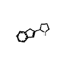 C1=C(C2CCCN2)Cc2ccccc21